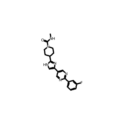 CNC(=O)N1CCC(c2nc(-c3cnc(-c4cccc(F)c4)nc3)c[nH]2)CC1